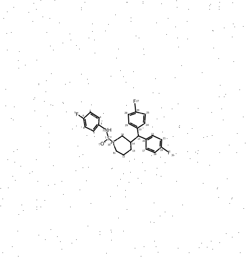 [O-][S+](Nc1ccc(F)cc1)N1CCCC(C(c2ccc(F)cc2)c2ccc(F)cc2)C1